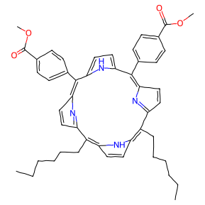 CCCCCCc1c2nc(c(-c3ccc(C(=O)OC)cc3)c3ccc([nH]3)c(-c3ccc(C(=O)OC)cc3)c3nc(c(CCCCCC)c4ccc1[nH]4)C=C3)C=C2